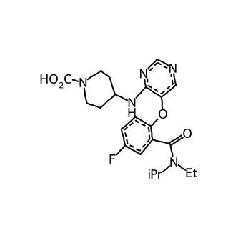 CCN(C(=O)c1cc(F)ccc1Oc1cncnc1NC1CCN(C(=O)O)CC1)C(C)C